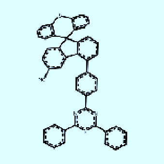 N#Cc1ccc2c(c1)-c1c(-c3ccc(-c4nc(-c5ccccc5)nc(-c5ccccc5)n4)cc3)cccc1C21c2ccccc2Sc2ccccc21